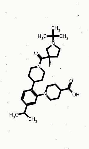 CC(C)c1ccc(C2CCN(C(=O)[C@@]3(F)CCN(C(C)(C)C)C3)CC2)c(N2CCC(C(=O)O)CC2)c1